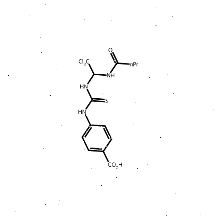 CCCC(=O)NC(NC(=S)Nc1ccc(C(=O)O)cc1)C(Cl)(Cl)Cl